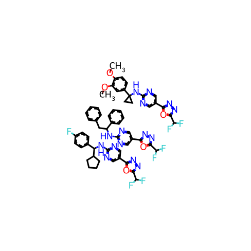 COc1ccc(C2(Nc3ncc(-c4nnc(C(F)F)o4)cn3)CC2)cc1OC.FC(F)c1nnc(-c2cnc(NC(Cc3ccccc3)c3ccccc3)nc2)o1.Fc1ccc(C(Nc2ncc(-c3nnc(C(F)F)o3)cn2)C2CCCC2)cc1